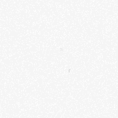 C[CH](C)[Al+][CH2]c1ccccc1.[F-]